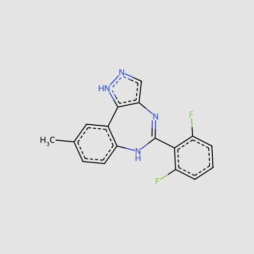 Cc1ccc2c(c1)-c1[nH]ncc1N=C(c1c(F)cccc1F)N2